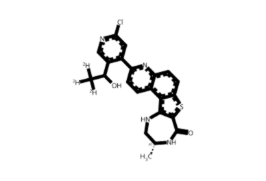 [2H]C([2H])([2H])C(O)c1cnc(Cl)cc1-c1ccc2c(ccc3sc4c(c32)NC[C@@H](C)NC4=O)n1